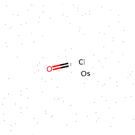 [C].[C]=O.[Os]